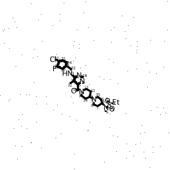 CCS(=O)(=O)N(C)C1CCN(C2CCN(C(=O)c3ncnc(NCc4ccc(Cl)c(F)c4)c3C)CC2)CC1